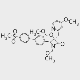 COCO[C@@]1(Cc2cc(OC)ccn2)C(=O)N(COC)[C@H]1c1ccc(-c2ccc(S(C)(=O)=O)cc2)cc1